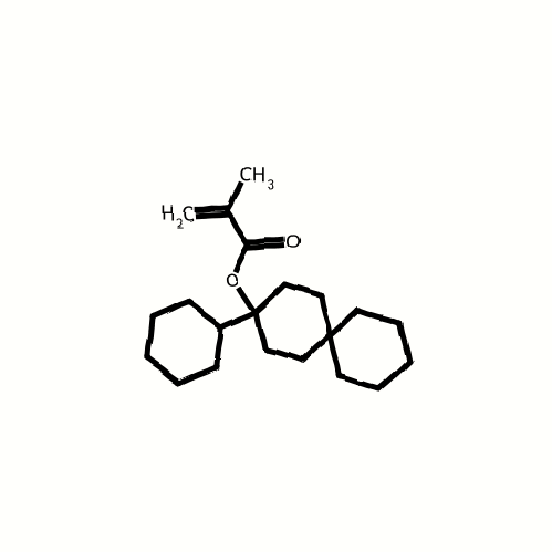 C=C(C)C(=O)OC1(C2CCCCC2)CCC2(CCCCC2)CC1